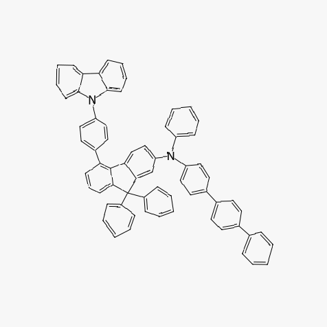 c1ccc(-c2ccc(-c3ccc(N(c4ccccc4)c4ccc5c(c4)C(c4ccccc4)(c4ccccc4)c4cccc(-c6ccc(-n7c8ccccc8c8ccccc87)cc6)c4-5)cc3)cc2)cc1